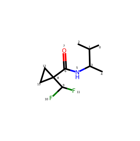 CC(C)C(C)NC(=O)C1(C(F)F)CC1